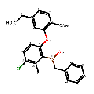 COc1ccc(CC(=O)O)cc1Oc1ccc(Cl)c(C)c1[S+]([O-])Cc1ccccc1